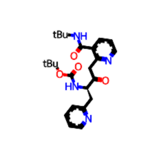 CC(C)(C)NC(=O)c1cccnc1CC(=O)[C@@H](Cc1ccccn1)NC(=O)OC(C)(C)C